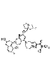 CCc1c(F)ccc2cc(O)cc(N3CCc4c(nc(OC[C@@]56CCCN5C[C@H](F)C6)nc4N4CCCn5nc(C(=O)N(C)C6CC6)cc5C4)C3)c12